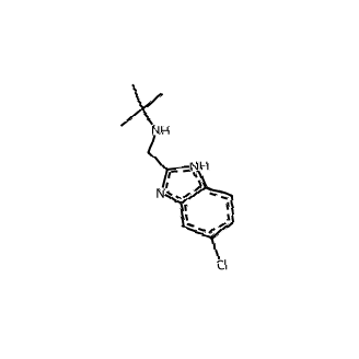 CC(C)(C)NCc1nc2cc(Cl)ccc2[nH]1